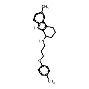 Cc1ccc(OCCCNC2CCCc3c2[nH]c2ccc(C)cc32)cc1